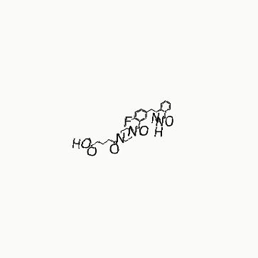 O=C(O)CCCC(=O)N1CCN(C(=O)c2cc(Cc3n[nH]c(=O)c4ccccc34)ccc2F)CC1